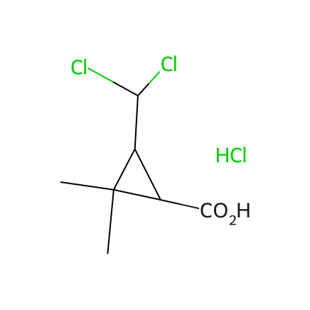 CC1(C)C(C(=O)O)C1C(Cl)Cl.Cl